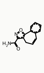 NC(=O)c1noc2c1CC=Cc1ccccc1-2